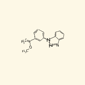 C=C(OC)c1cccc(-n2nnc3ccccc32)c1